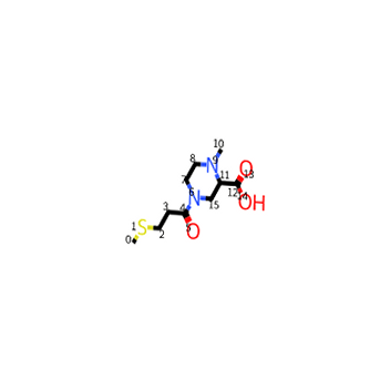 CSCCC(=O)N1CCN(C)C(C(=O)O)C1